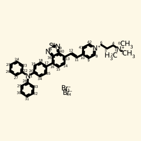 C[N+](C)(C)CCC[n+]1ccc(/C=C/c2ccc(-c3ccc(N(c4ccccc4)c4ccccc4)cc3)c3nsnc23)cc1.[Br-].[Br-]